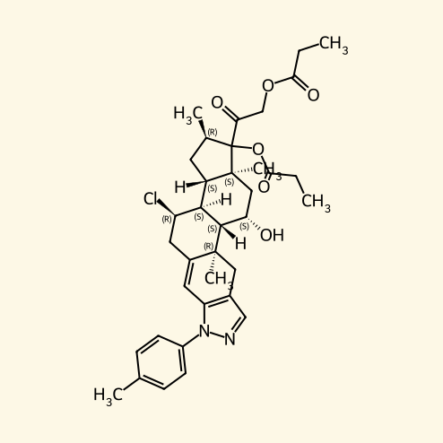 CCC(=O)OCC(=O)C1(OC(=O)CC)[C@H](C)C[C@H]2[C@H]3[C@H]([C@@H](O)C[C@@]21C)[C@@]1(C)Cc2cnn(-c4ccc(C)cc4)c2C=C1C[C@H]3Cl